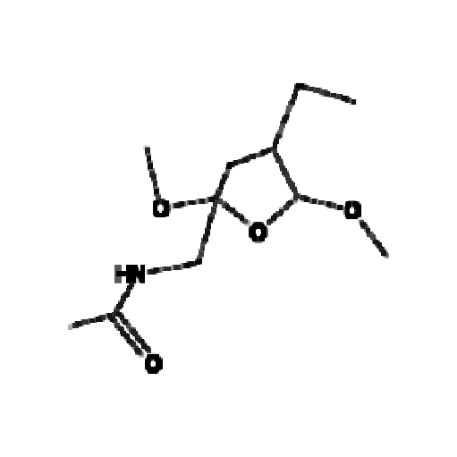 CCC1CC(CNC(C)=O)(OC)OC1OC